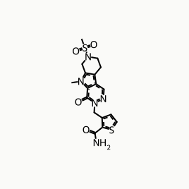 Cn1c2c(c3cnn(Cc4ccsc4C(N)=O)c(=O)c31)CCN(S(C)(=O)=O)C2